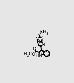 COC(=O)c1[nH]c2ccccc2c1-c1cn2nc(OC)sc2n1